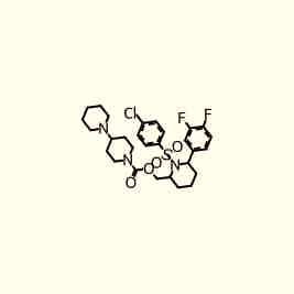 O=C(OCC1CCCC(c2ccc(F)c(F)c2)N1S(=O)(=O)c1ccc(Cl)cc1)N1CCC(N2CCCCC2)CC1